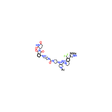 CN/C=C(\C=N)c1cc2c(cc1C(F)F)N(C(=N)C1=C(NC3CCN(C(=O)CN4CC(CNc5cccc6c5C(=O)N(C5CCC(=O)NC5=O)C6=O)C4)CC3)CCN(C(C)=O)C1)CCC2